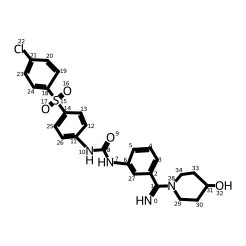 N=C(c1cccc(NC(=O)Nc2ccc(S(=O)(=O)c3ccc(Cl)cc3)cc2)c1)N1CCC(O)CC1